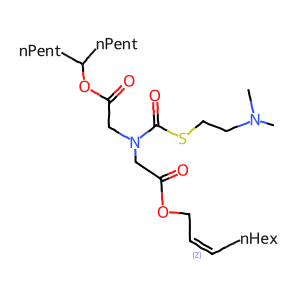 CCCCCC/C=C\COC(=O)CN(CC(=O)OC(CCCCC)CCCCC)C(=O)SCCN(C)C